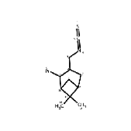 CC(C)C1C(CN=C=S)CC2CC1C2(C)C